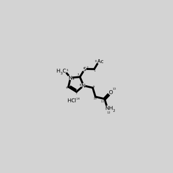 CC(=O)CSC1N(C)C=CN1CCC(N)=O.Cl